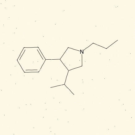 CCCN1CC(c2ccccc2)C(C(C)C)C1